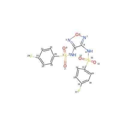 O=S(=O)(Nc1nonc1NS(=O)(=O)c1ccc(F)cc1)c1ccc(F)cc1